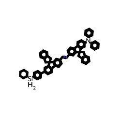 C(=C\c1ccc2c(c1)C1(Cc3ccccc3C1)c1cc(N(c3ccccc3)c3ccccc3)ccc1-2)/c1ccc2c(c1)C1(Cc3ccccc3C1)c1cc(-c3ccc([SiH2]C4CCCCC4)cc3)ccc1-2